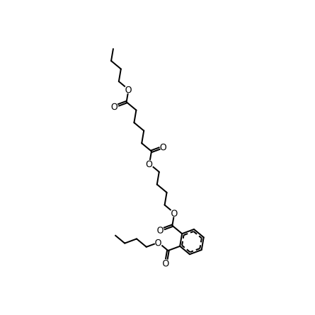 CCCCOC(=O)CCCCC(=O)OCCCCOC(=O)c1ccccc1C(=O)OCCCC